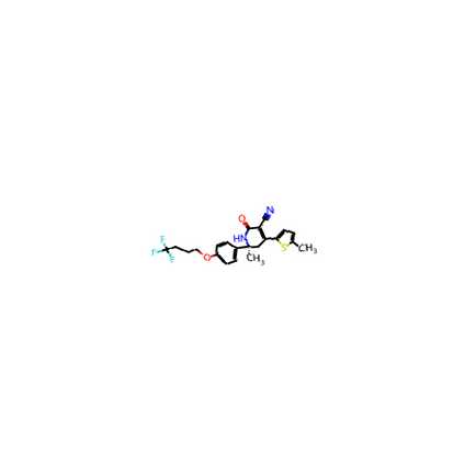 Cc1ccc(C2=C(C#N)C(=O)N[C@](C)(c3ccc(OCCCC(F)(F)F)cc3)C2)s1